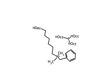 CCCCCCCCCCCCCCCC[N+](C)(C)Cc1ccccc1.CCCCCCCCP(CCCCCCCC)CCCCCCCC